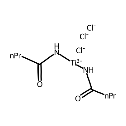 CCCC(=O)[NH][Ti+3][NH]C(=O)CCC.[Cl-].[Cl-].[Cl-]